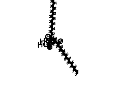 CCCCCCCCCCCCCCCC(=O)C1CN(C(=O)CCCCCCCCCCCCCCC)[C@](O)(C(=O)O)C1